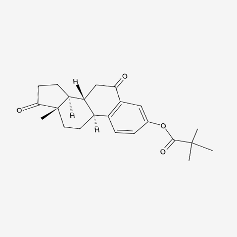 CC(C)(C)C(=O)Oc1ccc2c(c1)C(=O)C[C@@H]1[C@@H]2CC[C@]2(C)C(=O)CC[C@@H]12